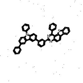 c1ccc(-c2ccc3c(c2)c2cc(-c4cccc(-c5nc(-c6ccccc6)c6c(ccc7c8ccccc8sc76)n5)c4)ccc2n3-c2ccccc2)cc1